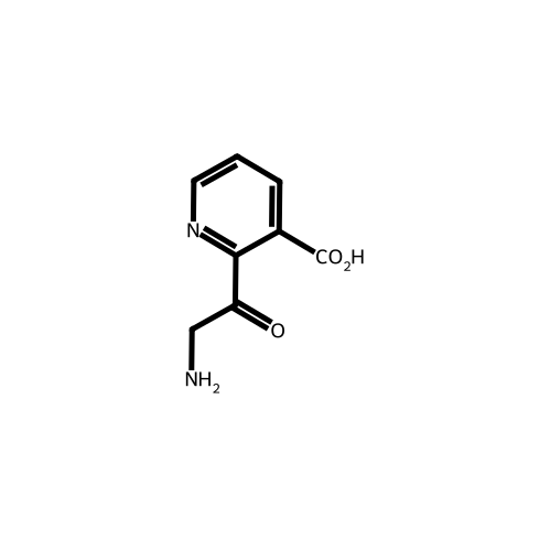 NCC(=O)c1ncccc1C(=O)O